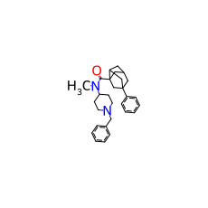 CN(C(=O)C12CC3CC1CC(c1ccccc1)(C3)C2)C1CCN(Cc2ccccc2)CC1